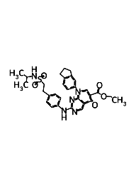 CCOC(=O)c1cn(-c2ccc3c(c2)CCC3)c2nc(Nc3ccc(CCS(=O)(=O)NC(C)C)cc3)ncc2c1=O